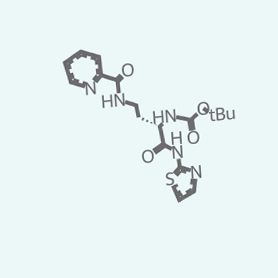 CC(C)(C)OC(=O)N[C@@H](CCNC(=O)c1ccccn1)C(=O)Nc1nccs1